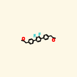 Fc1c(-c2ccc(CC3CO3)cc2)ccc(-c2ccc(CC3CO3)cc2)c1F